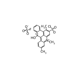 Cc1ccc2c(C(=O)O)c3c(-c4ccccc4)c(C)c(S(=O)(=O)Cl)cc3[n+](C)c2c1.O=S(=O)([O-])F